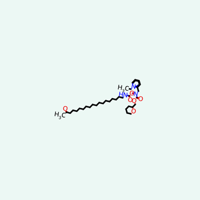 CC[n+]1ccccc1CN(OC(=O)NCCCCCCCCCCCCCCCCCC(C)=O)C(=O)OCC1CCCCO1